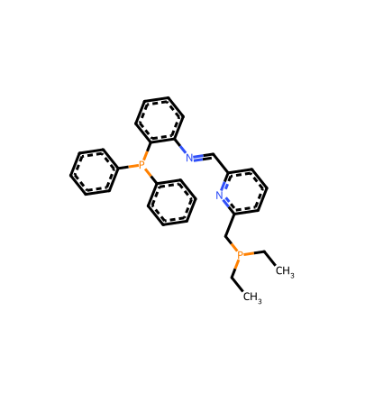 CCP(CC)Cc1cccc(C=Nc2ccccc2P(c2ccccc2)c2ccccc2)n1